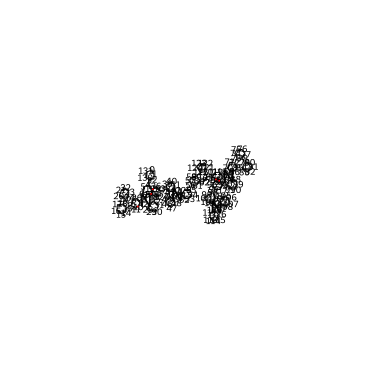 c1ccc(-c2ccc(N(c3ccc(-c4ccccc4-c4ccccc4)cc3)c3ccccc3-c3cccc(-c4cccc5c4c4ccccc4n5-c4cccc(-c5ccc6c(c5)cc(-c5ccc(N(c7ccc(-c8ccccc8-c8ccccc8)cc7)c7ccccc7-c7cccc(-c8cccc9c8c8ccccc8n9-c8ccccc8)c7)cc5)c5ccccc56)c4)c3)cc2)cc1